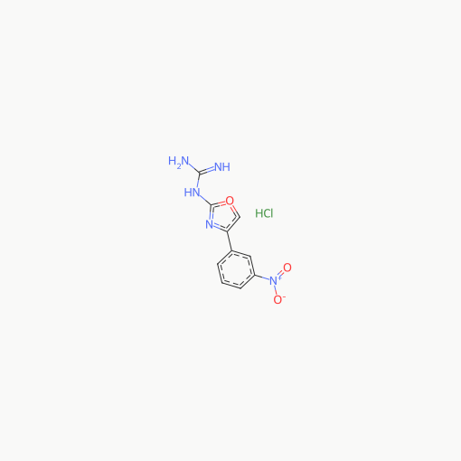 Cl.N=C(N)Nc1nc(-c2cccc([N+](=O)[O-])c2)co1